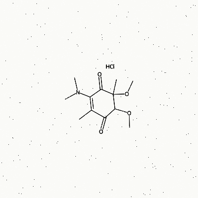 COC1C(=O)C(C)=C(N(C)C)C(=O)C1(C)OC.Cl